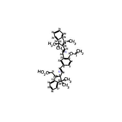 C=COc1ccc(/C=C/C2N(CC(=O)O)c3ccccc3C2(C)C)cc1/C=C/C1=[N+](C)c2ccccc2C1(C)C